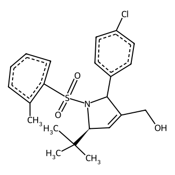 Cc1ccccc1S(=O)(=O)N1C(c2ccc(Cl)cc2)C(CO)=C[C@H]1C(C)(C)C